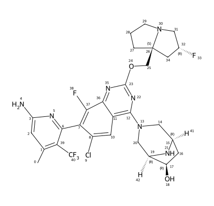 Cc1cc(N)nc(-c2c(Cl)cc3c(N4C[C@H]5C[C@@H](O)[C@@H](C4)N5)nc(OC[C@@]45CCCN4C[C@H](F)C5)nc3c2F)c1C(F)(F)F